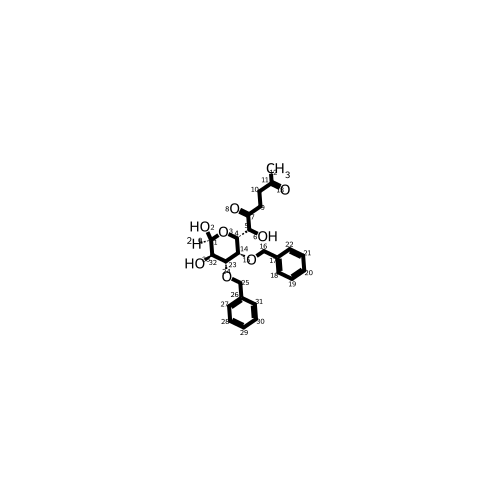 [2H][C@]1(O)O[C@H](C(O)C(=O)CCC(C)=O)[C@H](OCc2ccccc2)[C@H](OCc2ccccc2)[C@H]1O